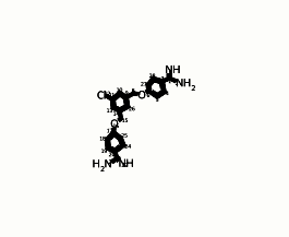 N=C(N)c1ccc(OCc2cc(Cl)cc(COc3ccc(C(=N)N)cc3)c2)cc1